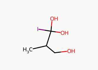 CC(CO)C(O)(O)I